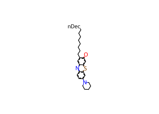 CCCCCCCCCCCCCCCCCCc1cc2nc3ccc(N4CCCCC4)cc3sc-2cc1=O